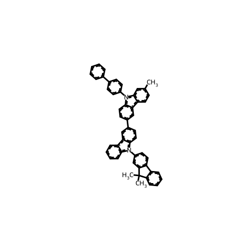 Cc1ccc2c3cc(-c4ccc5c(c4)c4ccccc4n5-c4ccc5c(c4)C(C)(C)c4ccccc4-5)ccc3n(-c3ccc(-c4ccccc4)cc3)c2c1